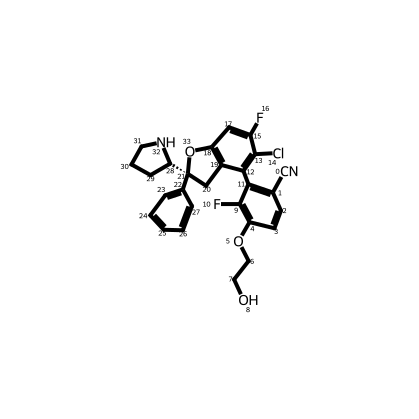 N#Cc1ccc(OCCO)c(F)c1-c1c(Cl)c(F)cc2c1C[C@](c1ccccc1)(C1CCCN1)O2